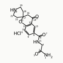 Cl.NC(=O)CNC(=O)c1ccc2c(c1)C(=O)CC1(CCNCC1)O2